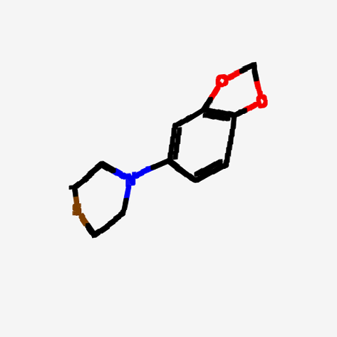 [CH]1CN(c2ccc3c(c2)OCO3)CCS1